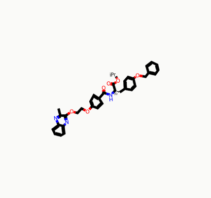 Cc1nc2ccccc2nc1OCCOc1ccc(C(=O)N[C@@H](Cc2ccc(OCc3ccccc3)cc2)C(=O)OC(C)C)cc1